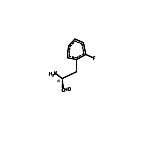 N[C@H](C=O)Cc1ccccc1F